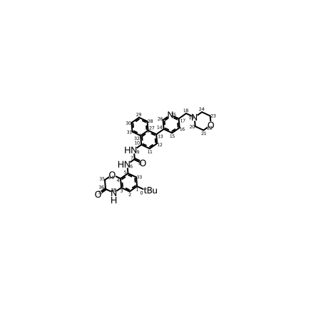 CC(C)(C)c1cc2c(c(NC(=O)Nc3ccc(-c4ccc(CN5CCOCC5)nc4)c4ccccc34)c1)OCC(=O)N2